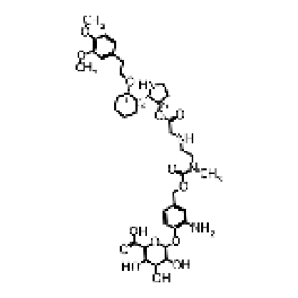 COc1ccc(CCO[C@H]2CCCC[C@H]2C2NCC[C@H]2OC(=O)CNCCN(C)C(=O)OCc2ccc(OC3OC(C(=O)O)C(O)C(O)C3O)c(N)c2)cc1OC